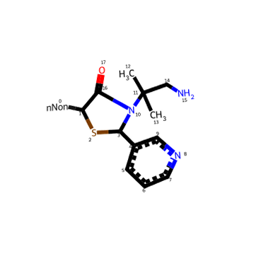 CCCCCCCCCC1SC(c2cccnc2)N(C(C)(C)CN)C1=O